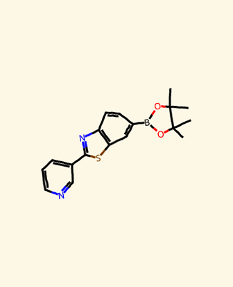 CC1(C)OB(c2ccc3nc(-c4cccnc4)sc3c2)OC1(C)C